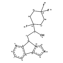 OC(CC1c2ncccc2-c2cncn21)C1(F)CCC(F)(F)CC1